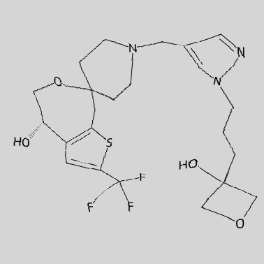 O[C@@H]1COC2(CCN(Cc3cnn(CCCC4(O)COC4)c3)CC2)c2sc(C(F)(F)F)cc21